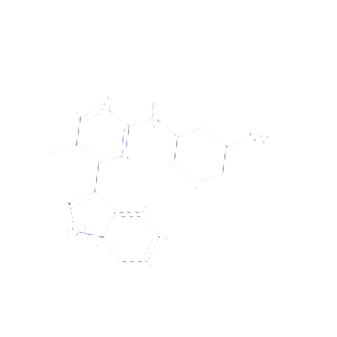 CNC1CCCC(Nc2ncc(Cl)c(-c3c[nH]c4ccccc34)n2)C1